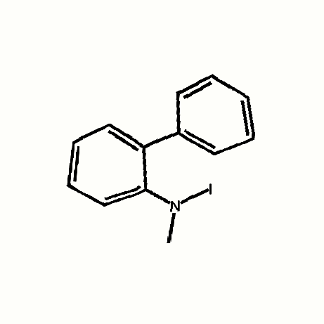 CN(I)c1ccccc1-c1ccccc1